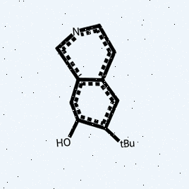 CC(C)(C)c1cc2ccncc2cc1O